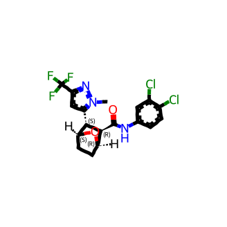 Cn1nc(C(F)(F)F)cc1[C@@H]1[C@@H](C(=O)Nc2ccc(Cl)c(Cl)c2)[C@H]2CC[C@@H]1O2